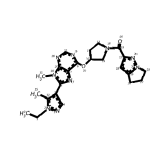 CCn1ncc(-c2nc3c(OC4CCN(C(=O)c5cc6n(n5)CCC6)C4)ncnc3n2C)c1C